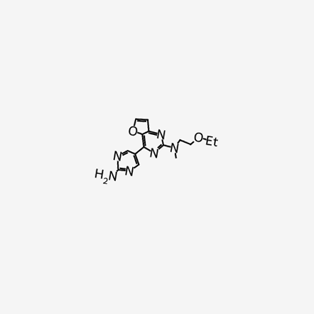 CCOCCN(C)c1nc(-c2cnc(N)nc2)c2occc2n1